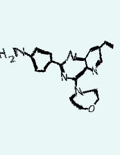 C=Cc1cnc2c(N3CCOCC3)nc(-c3ccc(N)cc3)nc2c1